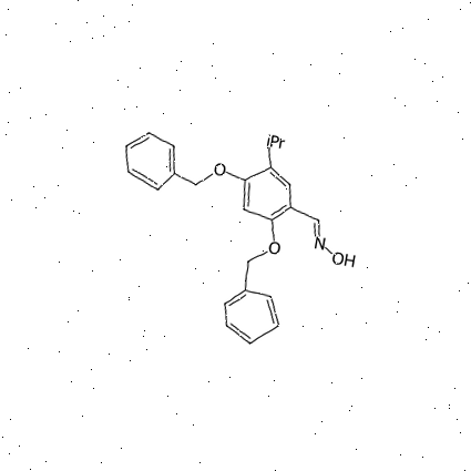 CC(C)c1cc(C=NO)c(OCc2ccccc2)cc1OCc1ccccc1